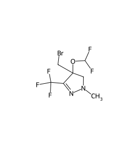 CN1CC(CBr)(OC(F)F)C(C(F)(F)F)=N1